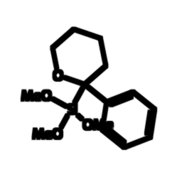 CO[Si](OC)(OC)C1(c2ccccc2)CCCCO1